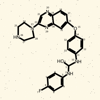 OC(Nc1ccc(F)cc1)Nc1ccc(Oc2ccc3ncc(N4CCNCC4)nc3c2)cc1